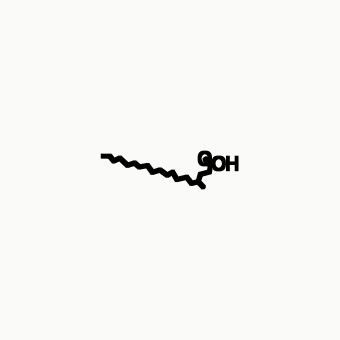 CCCCCCCCCCCCCCCC(C)CCC(=O)O